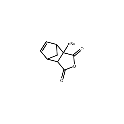 CCCCC12C(=O)OC(=O)C1C1C=CC2C1